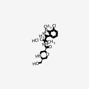 Cl.Cn1nc(C(C)(C)NC(=O)[C@@H]2CN[C@H](CO)CO2)c2cccc(Cl)c21